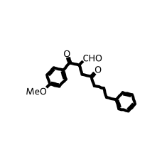 COc1ccc(C(=O)C(C=O)CC(=O)CCCc2ccccc2)cc1